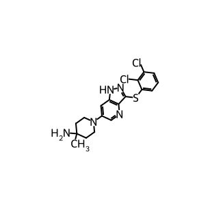 CC1(N)CCN(c2cnc3c(Sc4cccc(Cl)c4Cl)n[nH]c3c2)CC1